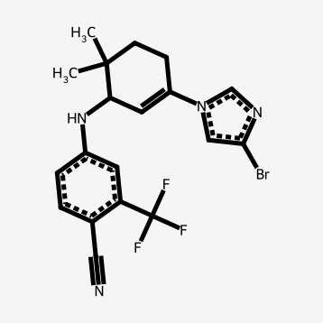 CC1(C)CCC(n2cnc(Br)c2)=CC1Nc1ccc(C#N)c(C(F)(F)F)c1